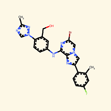 Cc1ncn(-c2ccc(Nc3nc(Br)cn4cc(-c5ccc(F)cc5C)nc34)cc2CO)n1